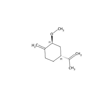 C=C(C)[C@@H]1CCC(=C)[C@@H](OC)C1